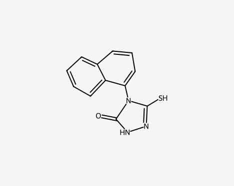 O=c1[nH]nc(S)n1-c1cccc2ccccc12